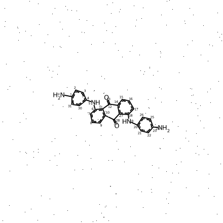 Nc1ccc(Nc2cccc3c2C(=O)c2cccc(Nc4ccc(N)cc4)c2C3=O)cc1